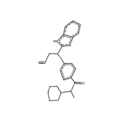 C=CCC(c1ccc(C(=O)N(C)C2CCCCC2)cc1)c1nc2ccccc2[nH]1